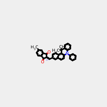 Cc1ccc2c(c1)C(=O)/C(=C\c1ccc3c4c(ccc3c1)N(c1ccccc1)c1ccccc1C4(C)C)C2=O